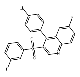 O=S(=O)(c1cccc(F)c1)c1cnc2ccc(F)cc2c1-c1ccc(Cl)cc1